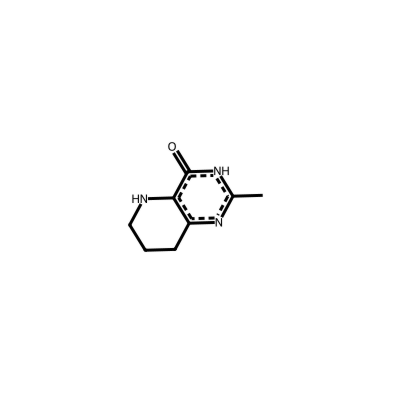 Cc1nc2c(c(=O)[nH]1)NCCC2